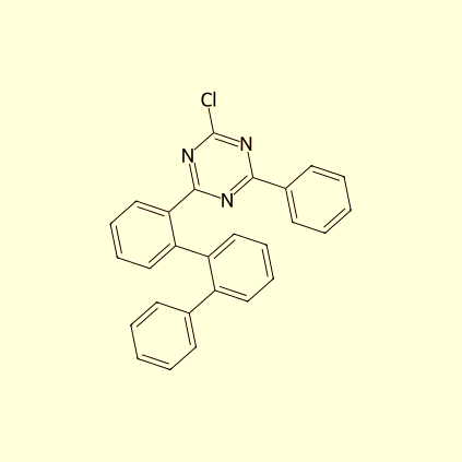 Clc1nc(-c2ccccc2)nc(-c2ccccc2-c2ccccc2-c2ccccc2)n1